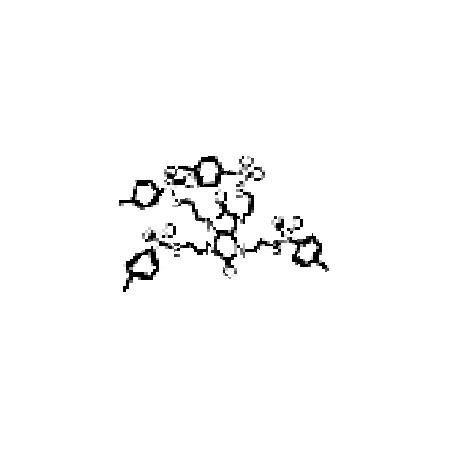 Cc1ccc(S(=O)(=O)SCCN2C(=O)N(CCSS(=O)(=O)c3ccc(C)cc3)C3C2N(CCSS(=O)(=O)c2ccc(C)cc2)C(=O)N3CCSS(=O)(=O)c2ccc(C)cc2)cc1